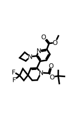 COC(=O)c1ccc(C2=CC3(CCN2C(=O)OC(C)(C)C)CC(F)(F)C3)c(N2CCC2)n1